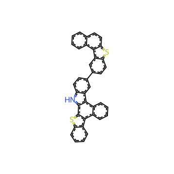 c1ccc2c(c1)ccc1sc3ccc(-c4ccc5[nH]c6c7sc8ccccc8c7c7ccccc7c6c5c4)cc3c12